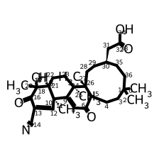 CC1(C)CCC2C(=O)C=C3[C@@]4(C)C=C(C#N)C(=O)C(C)(C)[C@@H]4CC[C@@]3(C)[C@]2(C)CC[C@@H](CC(=O)O)CC1